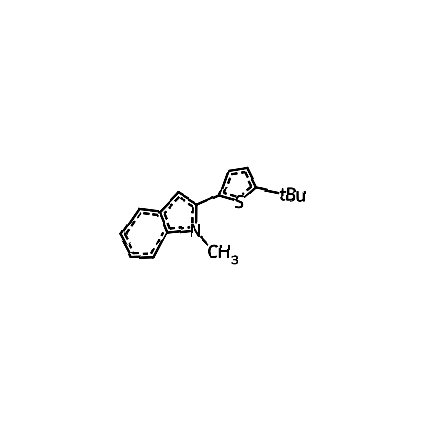 Cn1c(-c2ccc(C(C)(C)C)s2)cc2ccccc21